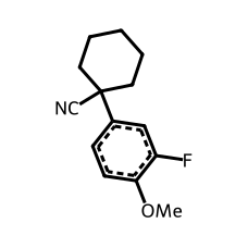 COc1ccc(C2(C#N)CCCCC2)cc1F